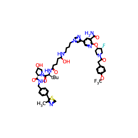 Cc1ncsc1-c1ccc(CNC(=O)[C@@H]2C[C@@H](O)CN2C(=O)[C@@H](NC(=O)CCCC(O)NCCCCn2cnc(-c3cnc(O[C@@H]4CCN(C(=O)Cc5ccc(OC(F)(F)F)cc5)C[C@H]4F)c(C(N)=O)c3)c2)C(C)(C)C)cc1